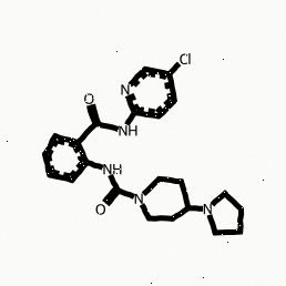 O=C(Nc1ccc(Cl)cn1)c1ccccc1NC(=O)N1CCC(N2CCCC2)CC1